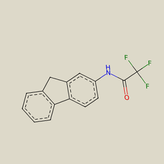 O=C(Nc1ccc2c(c1)Cc1ccccc1-2)C(F)(F)F